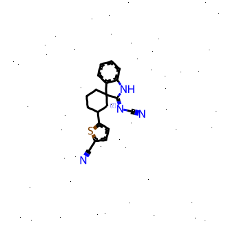 N#C/N=C1\Nc2ccccc2C12CCCC(c1ccc(C#N)s1)C2